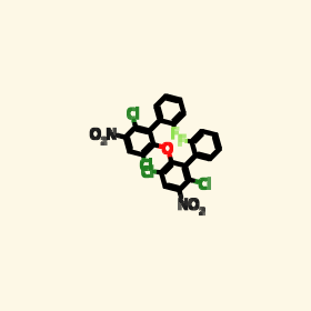 O=[N+]([O-])c1cc(Cl)c(Oc2c(Cl)cc([N+](=O)[O-])c(Cl)c2-c2ccccc2F)c(-c2ccccc2F)c1Cl